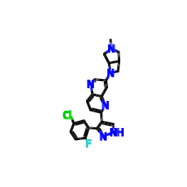 CN1CC2CN(c3cnc4ccc(-c5c[nH]nc5-c5cc(Cl)ccc5F)nc4c3)C2C1